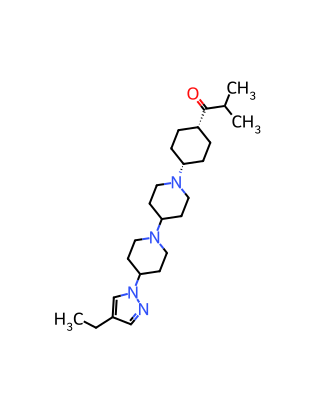 CCc1cnn(C2CCN(C3CCN([C@H]4CC[C@@H](C(=O)C(C)C)CC4)CC3)CC2)c1